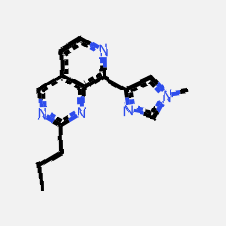 CCCc1ncc2ccnc(-c3cn(C)cn3)c2n1